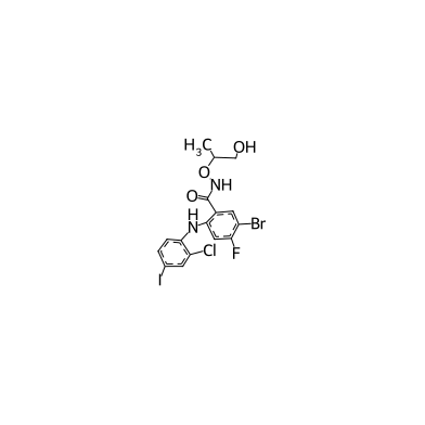 CC(CO)ONC(=O)c1cc(Br)c(F)cc1Nc1ccc(I)cc1Cl